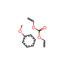 C=COC(=O)OC=C.COc1ccccc1